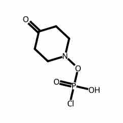 O=C1CCN(OP(=O)(O)Cl)CC1